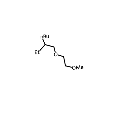 CCCCC(CC)COCCOC